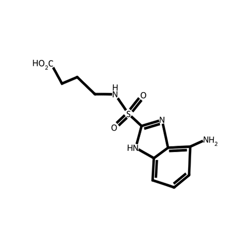 Nc1cccc2[nH]c(S(=O)(=O)NCCCC(=O)O)nc12